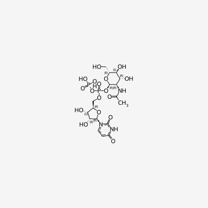 CC(=O)N[C@H]1[C@@H](OP(=O)(OC[C@H]2O[C@@H](n3ccc(=O)[nH]c3=O)[C@H](O)[C@@H]2O)OP(=O)(O)O)O[C@H](CO)[C@@H](O)[C@@H]1O